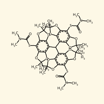 CN(C)C(=O)Sc1c2c(c(C(c3c4c(c(SC(=O)N(C)C)c5c3OC(C)(C)O5)OC(C)(C)O4)c3c4c(c(SC(=O)N(C)C)c5c3OC(C)(C)O5)OC(C)(C)O4)c3c1OC(C)(C)O3)OC(C)(C)O2